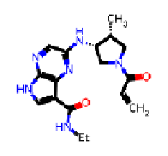 C=CC(=O)N1C[C@@H](C)[C@@H](Nc2cnc3[nH]cc(C(=O)NCC)c3n2)C1